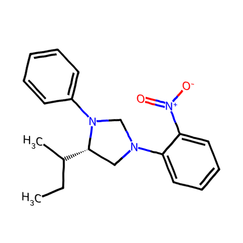 CCC(C)[C@H]1CN(c2ccccc2[N+](=O)[O-])CN1c1ccccc1